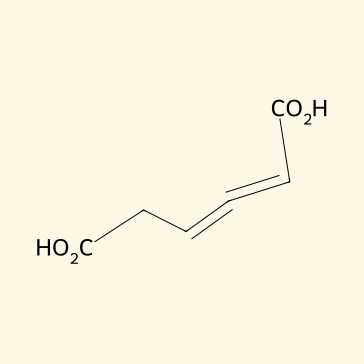 O=C(O)C=C=CCC(=O)O